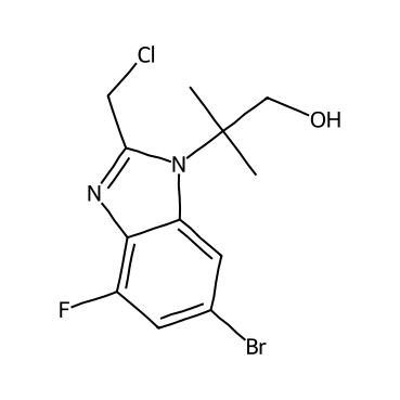 CC(C)(CO)n1c(CCl)nc2c(F)cc(Br)cc21